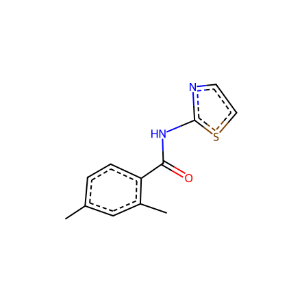 Cc1ccc(C(=O)Nc2nccs2)c(C)c1